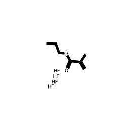 C=C(C)C(=O)OCCC.F.F.F.F